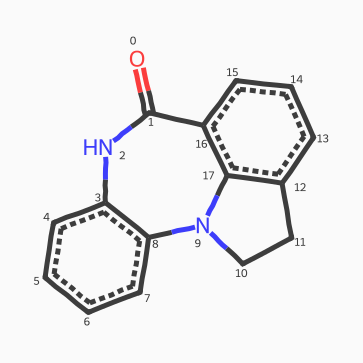 O=C1Nc2ccccc2N2CCc3cccc1c32